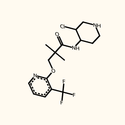 CC(C)(COc1ncccc1C(F)(F)F)C(=O)NC1CCNCC1Cl